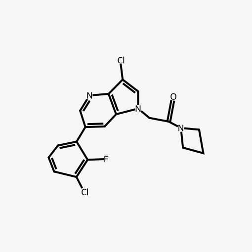 O=C(Cn1cc(Cl)c2ncc(-c3cccc(Cl)c3F)cc21)N1CCC1